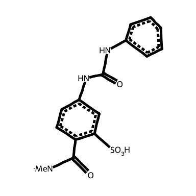 C[N]C(=O)c1ccc(NC(=O)Nc2ccccc2)cc1S(=O)(=O)O